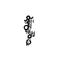 CCc1cccc(CC)c1NC(=O)c1nn(C)c2c1CCCc1cnc(Nc3ccc(N4CCCN(C)CC4)cc3OC)nc1-2